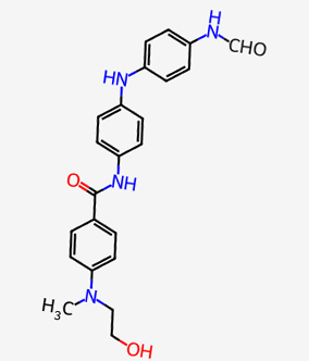 CN(CCO)c1ccc(C(=O)Nc2ccc(Nc3ccc(NC=O)cc3)cc2)cc1